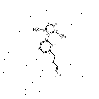 C=CCCc1cccc(-n2c(C)ccc2C)n1